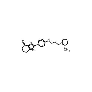 CC1CCCN1CCCOc1ccc(-c2nc3c(s2)C(=O)CCC3)cc1